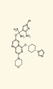 BC(B)(Oc1cnc2cc(N3CCOCC3)nc(O[C@H]3CC[C@@H](n4ccnc4)CC3)c2c1)c1cn(C(C)C)nc1[N+](=O)[O-]